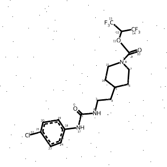 O=C(NCCC1CCN(C(=O)OC(C(F)(F)F)C(F)(F)F)CC1)Nc1ccc(Cl)cc1